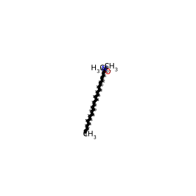 CCCCCCCCCCCCCCCCCCCCCCCCCCC(=O)N(C)C